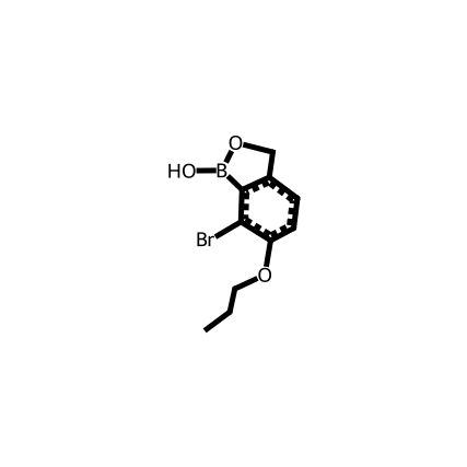 CCCOc1ccc2c(c1Br)B(O)OC2